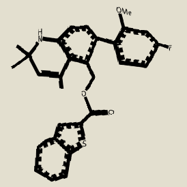 COc1cc(F)ccc1-c1ccc2c(c1COC(=O)c1cc3ccccc3s1)C(C)=CC(C)(C)N2